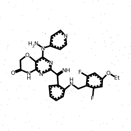 CCOc1cc(F)c(CNc2ccccc2C(=N)c2nc3c(c(N(N)c4ccncc4)n2)OCC(=O)N3)c(F)c1